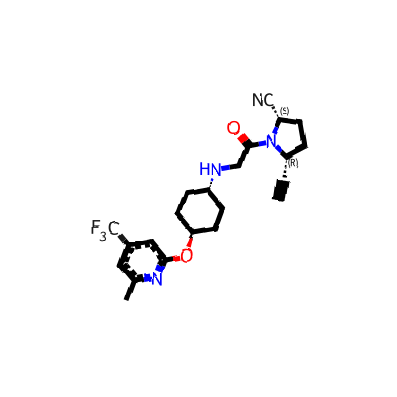 C#C[C@H]1CC[C@@H](C#N)N1C(=O)CN[C@H]1CC[C@H](Oc2cc(C(F)(F)F)cc(C)n2)CC1